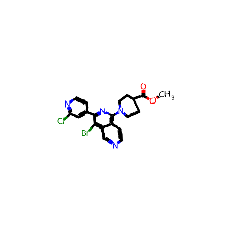 COC(=O)C1CCN(c2nc(-c3ccnc(Cl)c3)c(Br)c3cnccc23)CC1